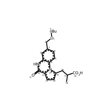 CCCCOCc1ccc2c(c1)[nH]c(=O)c1ccc(CC(C)C(=O)O)n12